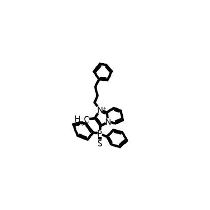 Cc1c(P(=S)(c2ccccc2)c2ccccc2)n2ccccc2[n+]1CCCc1ccccc1